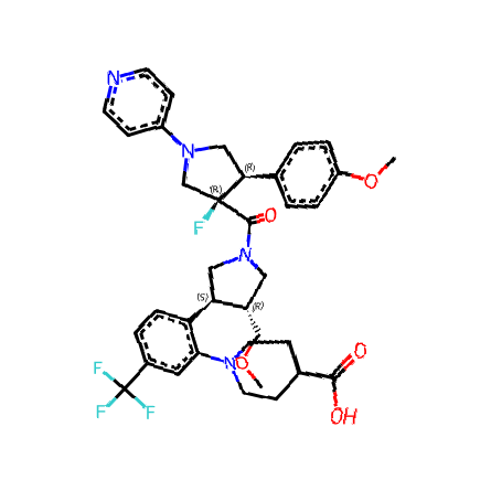 COC[C@H]1CN(C(=O)[C@]2(F)CN(c3ccncc3)C[C@H]2c2ccc(OC)cc2)C[C@@H]1c1ccc(C(F)(F)F)cc1N1CCC(C(=O)O)CC1